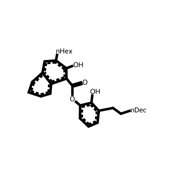 CCCCCCCCCCCCc1cccc(OC(=O)c2c(O)c(CCCCCC)cc3ccccc23)c1O